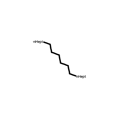 CCCCCC[CH]CCCCCCCCCCCCC